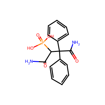 NC(=O)C(C(C(N)=O)(c1ccccc1)c1ccccc1)P(=O)(O)O